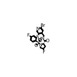 O=C(NCc1cc(Br)ncc1F)[C@@H]1CC(F)CN1S(=O)(=O)c1ccc(F)cc1